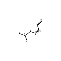 C=C/N=C\CC(C)C